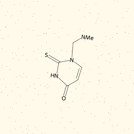 CNCn1ccc(=O)[nH]c1=S